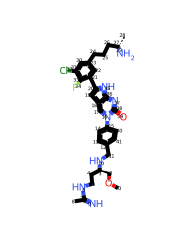 COC[C@@H](CCNC(C)=N)NCc1ccc(-n2cc3cc(-c4cc(CCC[C@H](C)N)cc(Cl)c4F)[nH]c3nc2=O)cc1